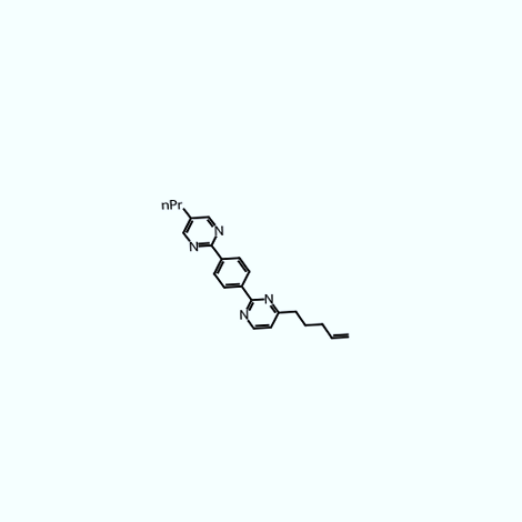 C=CCCCc1ccnc(-c2ccc(-c3ncc(CCC)cn3)cc2)n1